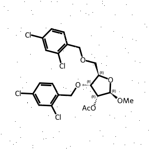 CO[C@@H]1O[C@H](COCc2ccc(Cl)cc2Cl)[C@@H](OCc2ccc(Cl)cc2Cl)[C@H]1OC(C)=O